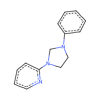 c1ccc(N2CCN(c3ccccn3)C2)cc1